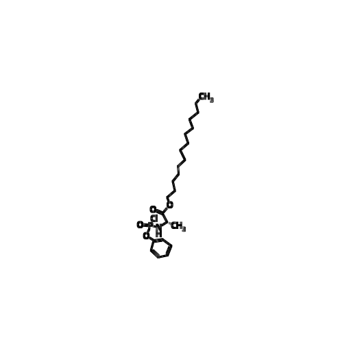 CCCCCCCCCCCCCCOC(=O)[C@H](C)NP(=O)(Cl)Oc1ccccc1